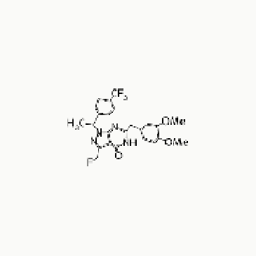 COc1ccc(Cc2nc3c(c(CF)nn3[C@@H](C)c3ccc(C(F)(F)F)cc3)c(=O)[nH]2)cc1OC